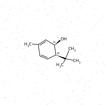 CC1=C[C@@H](O)[C@@H](C(C)(C)C)C=C1